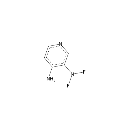 Nc1ccncc1N(F)F